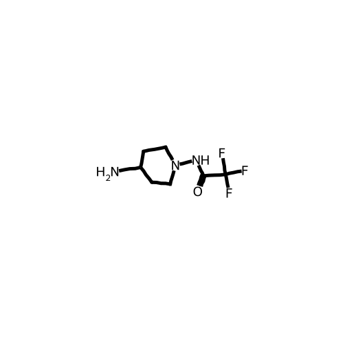 NC1CCN(NC(=O)C(F)(F)F)CC1